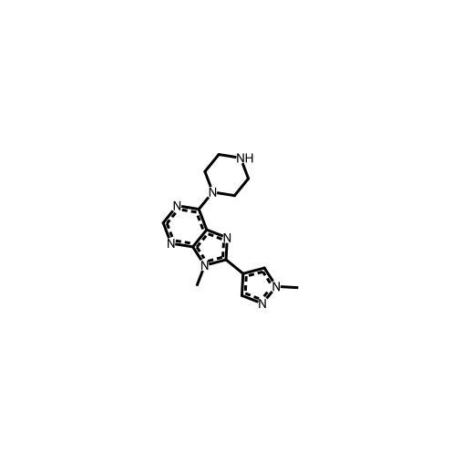 Cn1cc(-c2nc3c(N4CCNCC4)ncnc3n2C)cn1